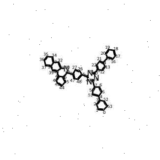 c1ccc(-c2ccc(-c3nc(-c4ccc(-c5ccccc5)cc4)nc(-c4ccc(-c5nc6cc7ccccc7cc6c6ccccc56)cc4)n3)cc2)cc1